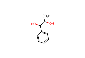 O=C(O)C(O)C(O)c1ccccc1